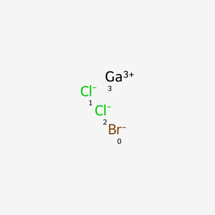 [Br-].[Cl-].[Cl-].[Ga+3]